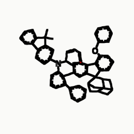 CC1(C)c2ccccc2-c2ccc(N(c3cccc(-c4ccccc4)c3-c3ccc4c(c3)C3(c5cccc(Oc6ccccc6)c5-4)C4CC5CC(C4)CC3C5)C3C=CC=CC3)cc21